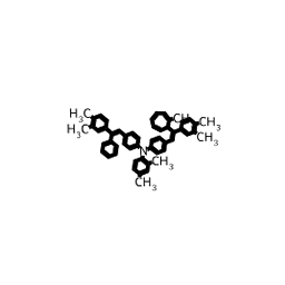 CC1=CC=CC=CC1/C(=C\c1ccc(N(c2ccc(/C=C(\c3ccccc3)c3ccc(C)c(C)c3)cc2)c2ccc(C)cc2C)cc1)c1ccc(C)c(C)c1